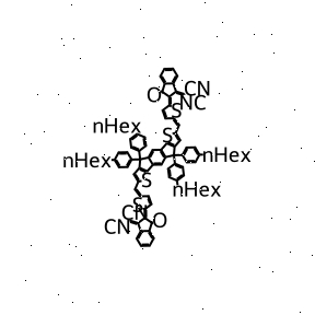 [C-]#[N+]/C(C#N)=C1\C(=c2\cc/c(=C\c3cc4c(s3)-c3cc5c(cc3C4(c3ccc(CCCCCC)cc3)c3ccc(CCCCCC)cc3)-c3sc(/C=c4\cc/c(=C6\C(=O)c7ccccc7\C6=C(\C#N)[N+]#[C-])s4)cc3C5(c3ccc(CCCCCC)cc3)c3ccc(CCCCCC)cc3)s2)C(=O)c2ccccc21